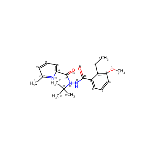 CCc1c(OC)cccc1C(=O)NN(C(=O)c1cccc(C)n1)C(C)(C)C